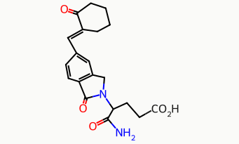 NC(=O)C(CCC(=O)O)N1Cc2cc(C=C3CCCCC3=O)ccc2C1=O